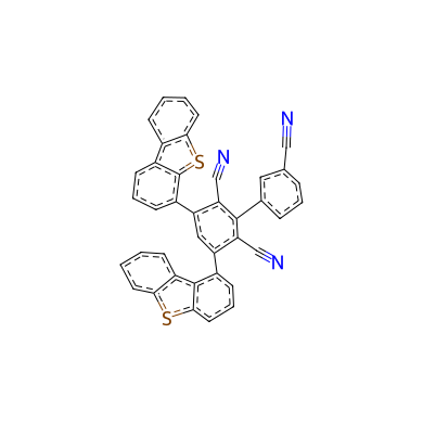 N#Cc1cccc(-c2c(C#N)c(-c3cccc4c3sc3ccccc34)cc(-c3cccc4sc5ccccc5c34)c2C#N)c1